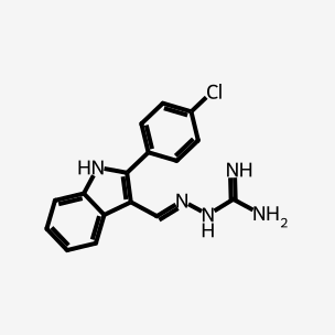 N=C(N)N/N=C/c1c(-c2ccc(Cl)cc2)[nH]c2ccccc12